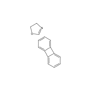 C1=NCCO1.c1ccc2c(c1)-c1ccccc1-2